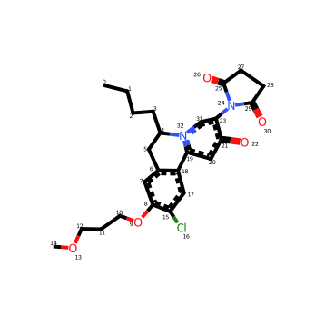 CCCCC1Cc2cc(OCCCOC)c(Cl)cc2-c2cc(=O)c(N3C(=O)CCC3=O)cn21